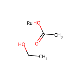 CC(=O)O.CCO.[Ru]